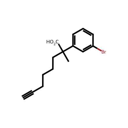 C#CCCCCC(C)(C(=O)O)c1cccc(Br)c1